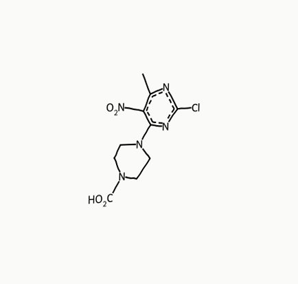 Cc1nc(Cl)nc(N2CCN(C(=O)O)CC2)c1[N+](=O)[O-]